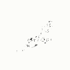 CC(C)c1ccccc1C1CN(Cc2ccnc3c2OC(C)(C)CO3)CCN1C1CC2(C1)CN(c1ccc(C(=O)NS(=O)(=O)c3ccc(NCC4CCC(C)(O)CC4)c([N+](=O)[O-])c3)c(Oc3cnc4[nH]ccc4c3)c1)C2